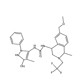 COCc1ccc2c(c1)C(NC(=O)NC1=C(C)C(O)NN1c1ccccc1)CN(CC(F)(F)F)C2C